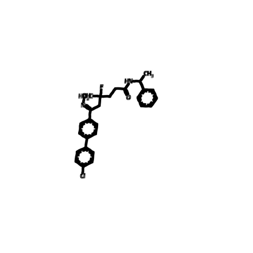 CC(NC(=O)CCC(F)(CC(=NO)c1ccc(-c2ccc(Cl)cc2)cc1)C(=O)O)c1ccccc1